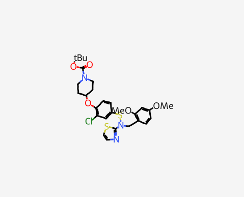 COc1ccc(CN(Sc2ccc(OC3CCN(C(=O)OC(C)(C)C)CC3)c(Cl)c2)c2nccs2)c(OC)c1